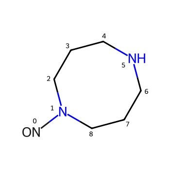 O=NN1CCCNCCC1